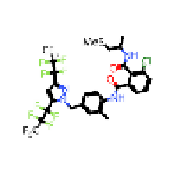 CSCC(C)NC(=O)c1c(Cl)cccc1C(=O)Nc1ccc(Cn2nc(C(F)(F)C(F)(F)C(F)(F)F)cc2C(F)(F)C(F)(F)C(F)(F)F)cc1C